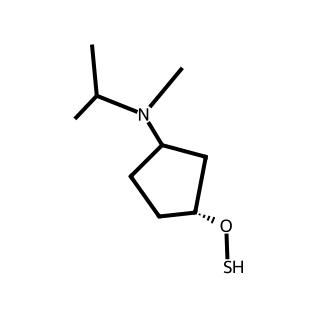 CC(C)N(C)C1CC[C@@H](OS)C1